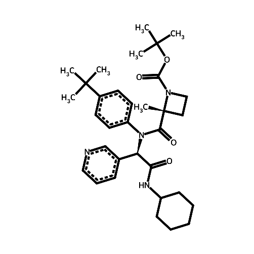 CC(C)(C)OC(=O)N1CC[C@]1(C)C(=O)N(c1ccc(C(C)(C)C)cc1)[C@@H](C(=O)NC1CCCCC1)c1cccnc1